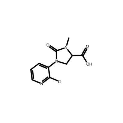 CN1C(=O)N(c2cccnc2Cl)CC1C(=O)O